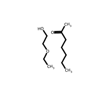 CCCCCC(C)=O.CCOCCO